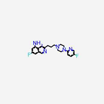 Nc1cc(F)cc2cnc(CCCN3CCN(c4ccc(F)cn4)CC3)cc12